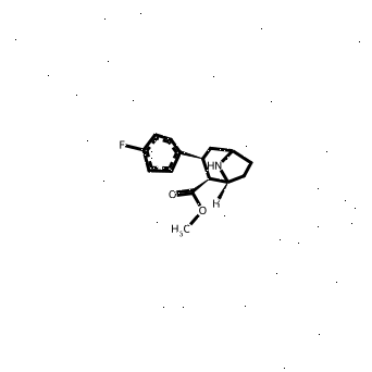 COC(=O)[C@H]1[C@@H](c2ccc(F)cc2)CC2CC[C@H]1N2